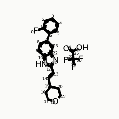 Fc1ccccc1-c1ccc2[nH]c(C=CC3CCOCC3)nc2c1.O=C(O)C(F)(F)F